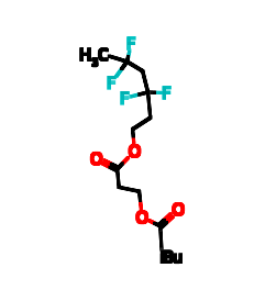 CCC(C)C(=O)OCCC(=O)OCCC(F)(F)CC(C)(F)F